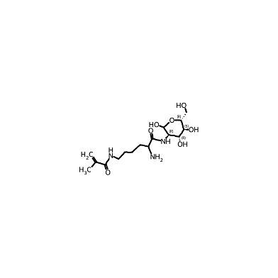 C=C(C)C(=O)NCCCCC(N)C(=O)N[C@H]1C(O)O[C@H](CO)[C@@H](O)[C@@H]1O